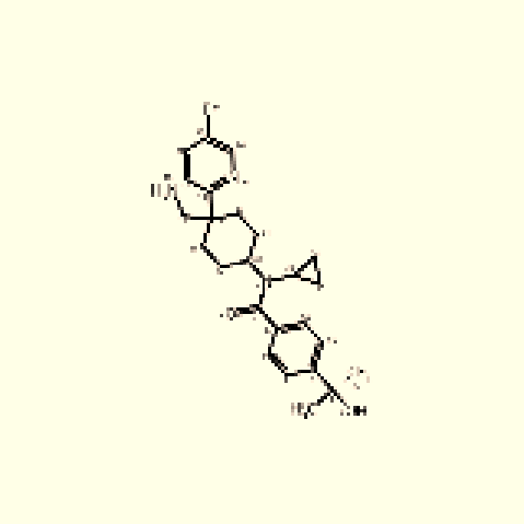 C[C@](O)(c1ccc(C(=O)N(C2CC2)C2CCC(CN)(c3ccc(F)cn3)CC2)cc1)C(F)(F)F